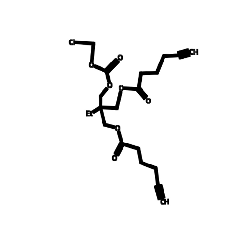 C#CCCCC(=O)OCC(CC)(COC(=O)CCCC#C)COC(=O)OCCl